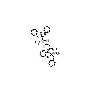 C[C@@H](NC(=O)CC(=O)N[C@H](C)C(O)(Cc1ccccc1)Cc1ccccc1)C(O)(Cc1ccccc1)Cc1ccccc1